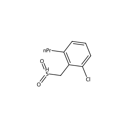 [CH2]CCc1cccc(Cl)c1C[SH](=O)=O